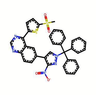 CS(=O)(=O)c1ccc(-c2ncnc3ccc(-c4cn(C(c5ccccc5)(c5ccccc5)c5ccccc5)nc4[N+](=O)[O-])cc23)s1